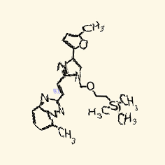 Cc1ccc(-c2cn(COCC[Si](C)(C)C)c(/C=C/c3nc4cccc(C)n4n3)n2)o1